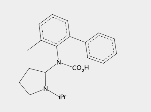 Cc1cccc(-c2ccccc2)c1N(C(=O)O)C1CCCN1C(C)C